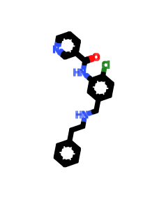 O=C(Nc1cc(CNCCc2ccccc2)ccc1Cl)c1cccnc1